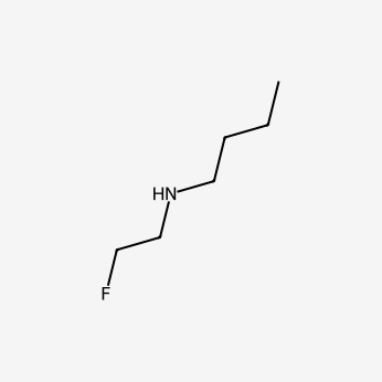 CCCCNCCF